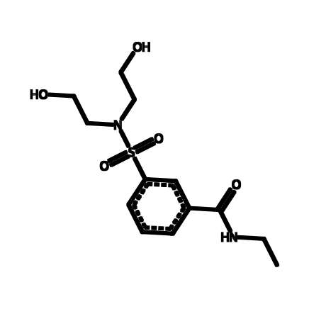 CCNC(=O)c1cccc(S(=O)(=O)N(CCO)CCO)c1